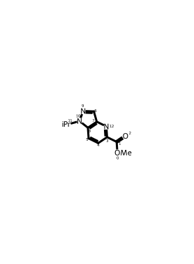 COC(=O)c1ccc2c(cnn2C(C)C)n1